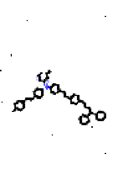 C=C/C=C(\C=C/C)N(c1ccc(C=Cc2ccc(C)cc2)cc1)c1ccc(C=Cc2ccc(C=CC=C(c3ccccc3)c3ccccc3)cc2)cc1